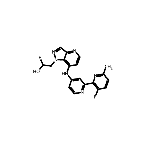 Cc1ccc(F)c(-c2cc(Nc3ccnc4cnn(CC(O)F)c34)ccn2)n1